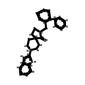 O=C1N(Cc2ccccc2-c2ccccc2)CCC12CCN(c1nc3ccccc3s1)CC2